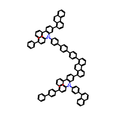 c1ccc(-c2ccc(-c3ccc(N(c4ccc(-c5cccc6ccccc56)cc4)c4cc(-c5cccc6c5ccc5c(-c7ccc(-c8ccc(-c9ccc(N(c%10ccc(-c%11ccccc%11)cc%10)c%10cc(-c%11cccc%12c%11ccc%11ccccc%11%12)ccc%10-c%10ccccc%10)cc9)cc8)cc7)cccc56)ccc4-c4ccccc4)cc3)cc2)cc1